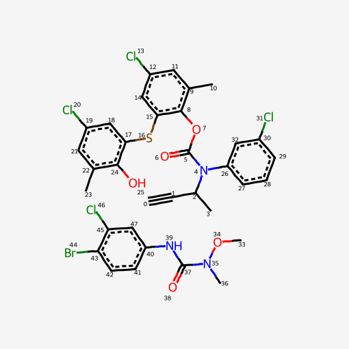 C#CC(C)N(C(=O)Oc1c(C)cc(Cl)cc1Sc1cc(Cl)cc(C)c1O)c1cccc(Cl)c1.CON(C)C(=O)Nc1ccc(Br)c(Cl)c1